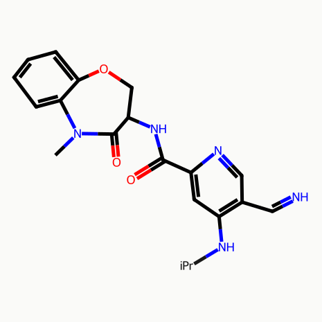 CC(C)Nc1cc(C(=O)NC2COc3ccccc3N(C)C2=O)ncc1C=N